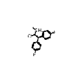 C[SiH2]C(Cl)C(c1ccc(F)cc1)c1ccc(F)cc1